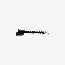 CCCCCCCCCCCCCCCCCCOC(=O)ON1C(=O)c2ccccc2C1=O